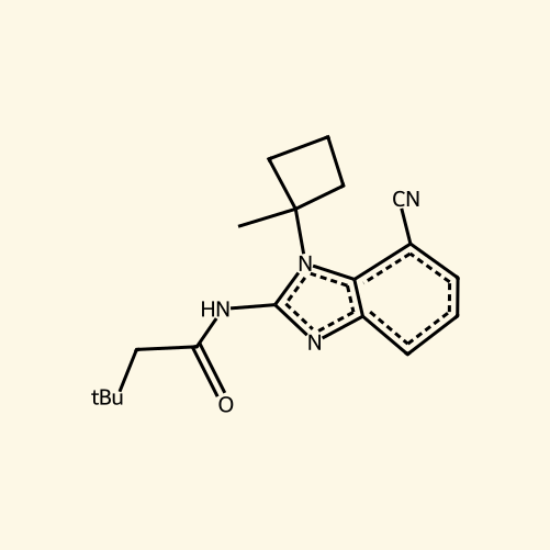 CC(C)(C)CC(=O)Nc1nc2cccc(C#N)c2n1C1(C)CCC1